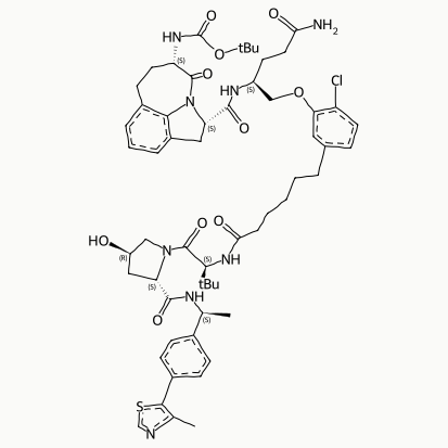 Cc1ncsc1-c1ccc([C@H](C)NC(=O)[C@@H]2C[C@@H](O)CN2C(=O)[C@@H](NC(=O)CCCCCc2ccc(Cl)c(OC[C@H](CCC(N)=O)NC(=O)[C@@H]3Cc4cccc5c4N3C(=O)[C@@H](NC(=O)OC(C)(C)C)CC5)c2)C(C)(C)C)cc1